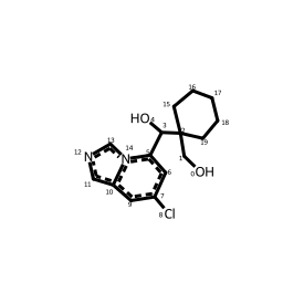 OCC1(C(O)c2cc(Cl)cc3cncn23)CCCCC1